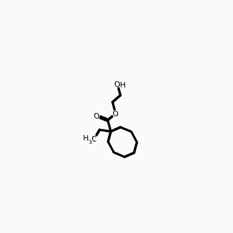 CCC1(C(=O)OCCO)CCCCCCC1